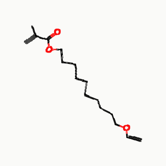 C=COCCCCCCCCCCOC(=O)C(=C)C